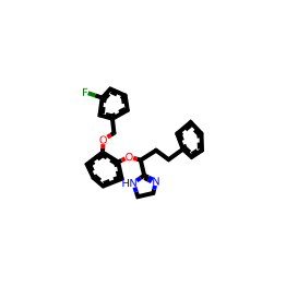 Fc1cccc(COc2ccccc2OC(CCc2ccccc2)C2=NCCN2)c1